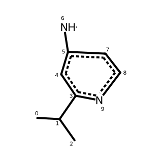 CC(C)c1cc([NH])ccn1